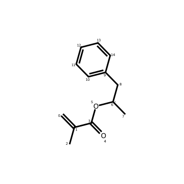 C=C(C)C(=O)O[C](C)Cc1ccccc1